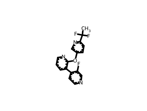 CC(F)(F)c1ccc(Oc2ncccc2-c2ccncc2F)cn1